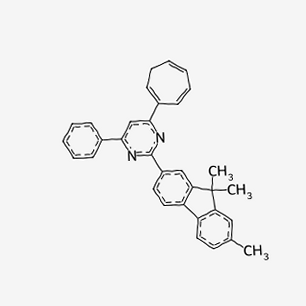 Cc1ccc2c(c1)C(C)(C)c1cc(-c3nc(C4=CCC=CC=C4)cc(-c4ccccc4)n3)ccc1-2